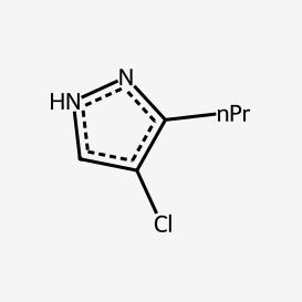 [CH2]CCc1n[nH]cc1Cl